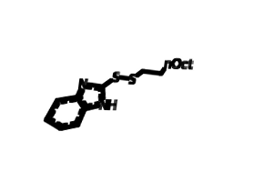 CCCCCCCCCCSSc1nc2ccccc2[nH]1